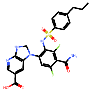 CCCc1ccc(S(=O)(=O)Nc2c(N3CNc4ncc(C(=O)O)cc43)cc(F)c(C(N)=O)c2F)cc1